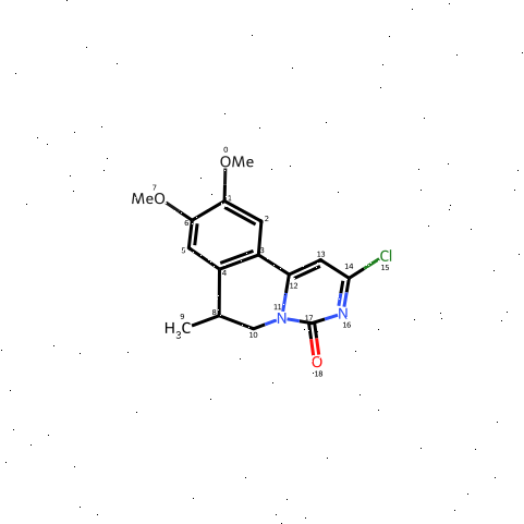 COc1cc2c(cc1OC)C(C)Cn1c-2cc(Cl)nc1=O